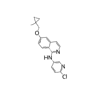 CC1(COc2ccc3c(Nc4ccc(Cl)nc4)nccc3c2)CC1